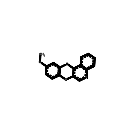 COc1ccc2c(c1)Oc1c(cnc3ccccc13)O2